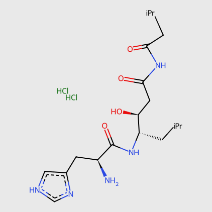 CC(C)CC(=O)NC(=O)C[C@H](O)[C@H](CC(C)C)NC(=O)[C@@H](N)Cc1c[nH]cn1.Cl.Cl